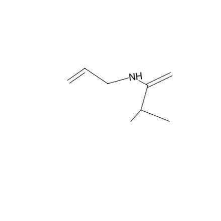 C=CCNC(=C)C(C)C